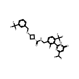 O=c1cc(C(F)F)nc(-c2c(C(F)(F)F)ccc(CNC(=O)[C@H]3C[C@H](OCc4cccc(C(F)(F)F)c4)C3)c2F)[nH]1